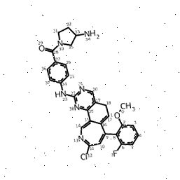 COc1cccc(F)c1C1=CC(Cl)=NC=C2C1=CCc1cnc(Nc3ccc(C(=O)N4CCC(N)C4)cc3)nc12